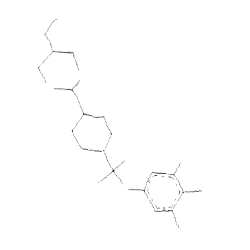 CCC1COC(C2CCC(C(F)(F)Oc3cc(F)c(F)c(F)c3)CC2)OC1